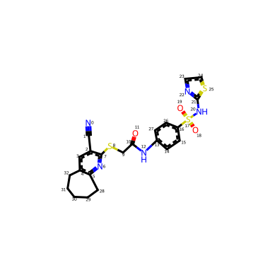 N#Cc1cc2c(nc1SCC(=O)Nc1ccc(S(=O)(=O)Nc3nccs3)cc1)CCCCC2